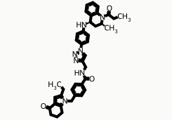 CCC(=O)N1c2ccccc2[C@H](Nc2ccc(-n3cc(CNC(=O)c4ccc(Cn5c(CC)cc6c5CCCC6=O)cc4)nn3)cc2)C[C@@H]1C